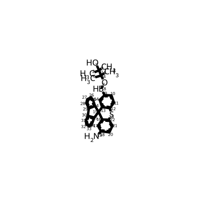 CC(C)(O)C(C)(C)OBc1ccc2c(c1)C1(c3cc(N)ccc3S2)c2ccccc2-c2ccccc21